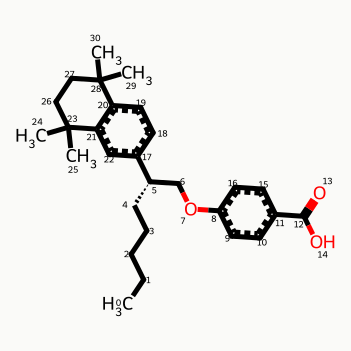 CCCCC[C@@H](COc1ccc(C(=O)O)cc1)c1ccc2c(c1)C(C)(C)CCC2(C)C